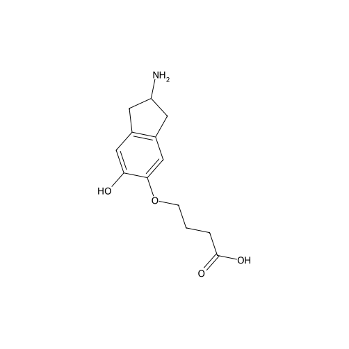 NC1Cc2cc(O)c(OCCCC(=O)O)cc2C1